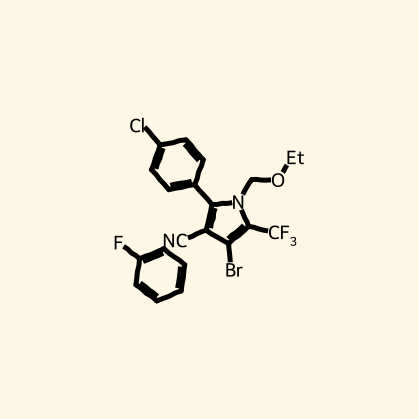 CCOCn1c(-c2ccc(Cl)cc2)c(C#N)c(Br)c1C(F)(F)F.Fc1ccccc1